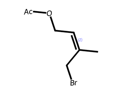 CC(=O)OC/C=C(/C)CBr